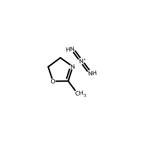 CC1=NCCO1.N=[N+]=N